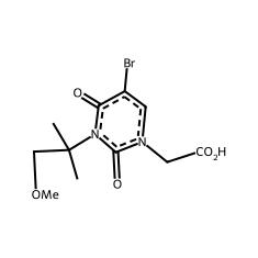 COCC(C)(C)n1c(=O)c(Br)cn(CC(=O)O)c1=O